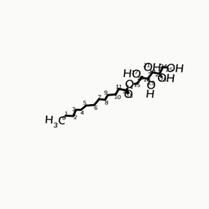 CCCCCCCCCCCCC(=O)OCC(O)C(O)C(O)C(O)CO